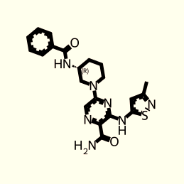 Cc1cc(Nc2nc(N3CCC[C@@H](NC(=O)c4ccccc4)C3)cnc2C(N)=O)sn1